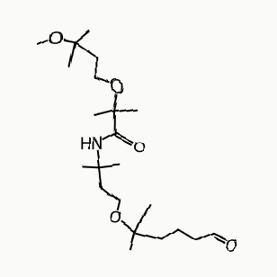 COC(C)(C)CCOC(C)(C)C(=O)NC(C)(C)CCOC(C)(C)CCCC=O